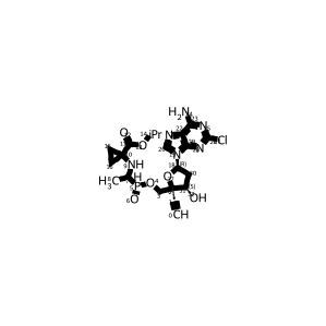 C#C[C@]1(CO[PH](=O)C(C)NC2(C(=O)OC(C)C)CC2)O[C@@H](n2cnc3c(N)nc(Cl)nc32)C[C@@H]1O